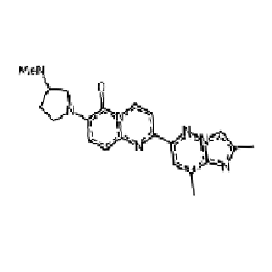 CNC1CCN(c2ccc3nc(-c4cc(C)c5nc(C)cn5n4)ccn3c2=O)C1